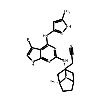 Cc1cc(Nc2nc(N[C@@H]3CC4CC[C@@H](C3)N4CCC#N)nc3[nH]cc(F)c23)n[nH]1